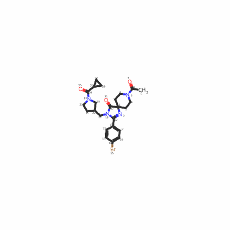 CC(=O)N1CCC2(CC1)N=C(c1ccc(Br)cc1)N(CC1CCN(C(=O)C3CC3)C1)C2=O